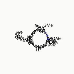 COCCC1(C)C2=Nc3c1cc(Br)c[n+]3CCOCCC(=O)NC(C(=O)NCCCCCC(=O)ON1C(=O)CCC1=O)CCCCNC(=O)CCOCCN1/C(=C/C=C/C=C/2)C(C)(CCOC)c2cc(S(=O)(=O)[O-])cc(C)c21